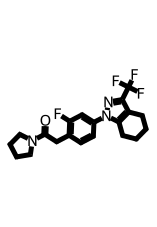 O=C(Cc1ccc(-n2nc(C(F)(F)F)c3c2CCCC3)cc1F)N1CCCC1